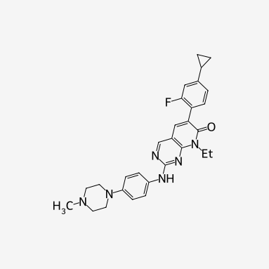 CCn1c(=O)c(-c2ccc(C3CC3)cc2F)cc2cnc(Nc3ccc(N4CCN(C)CC4)cc3)nc21